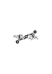 C=C(C)C(=O)OC(COCC1CCC(COCC(COc2ccccc2)OC(=O)C(=C)C)CC1)COc1ccccc1